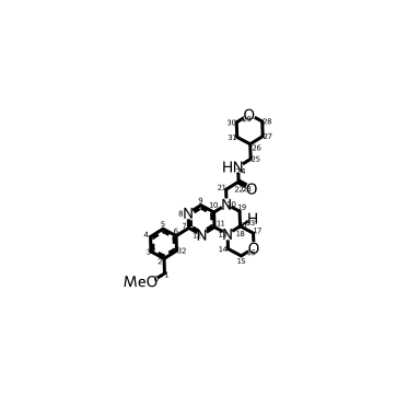 COCc1cccc(-c2ncc3c(n2)N2CCOC[C@H]2CN3CC(=O)NCC2CCOCC2)c1